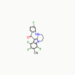 N#Cc1c(F)c(F)c2c(C(=O)c3ccc(F)cc3)c3n(c2c1F)CCCN3